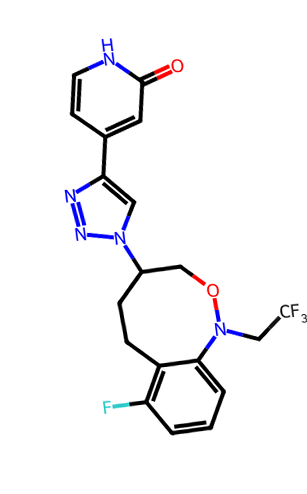 O=c1cc(-c2cn(C3CCc4c(F)cccc4N(CC(F)(F)F)OC3)nn2)cc[nH]1